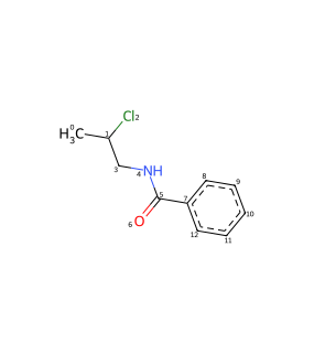 CC(Cl)CNC(=O)c1ccccc1